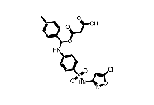 Cc1ccc(C(Nc2ccc(S(=O)(=O)Nc3cc(Cl)on3)cc2)OC(=O)CC(=O)O)cc1